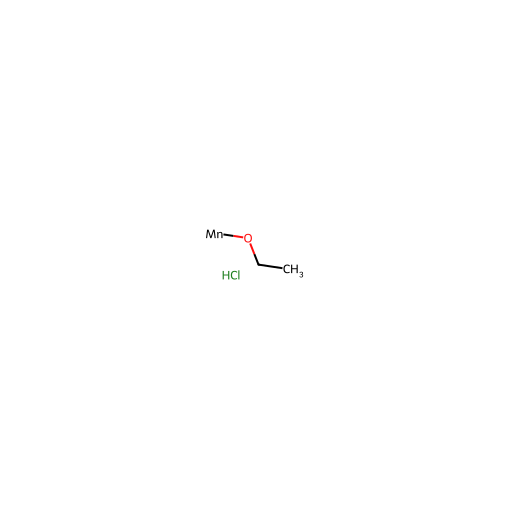 CC[O][Mn].Cl